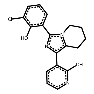 Oc1ncccc1-c1nc(-c2cccc(Cl)c2O)n2c1CCCC2